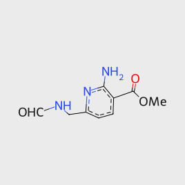 COC(=O)c1ccc(CNC=O)nc1N